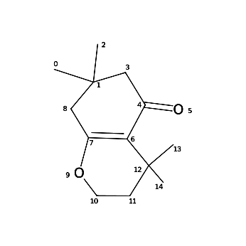 CC1(C)CC(=O)C2=C(C1)OCCC2(C)C